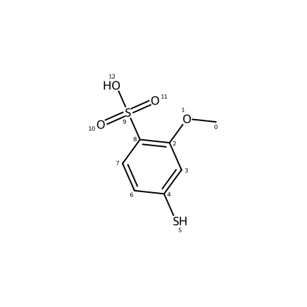 COc1cc(S)ccc1S(=O)(=O)O